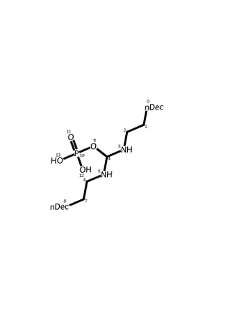 CCCCCCCCCCCCNC(NCCCCCCCCCCCC)OP(=O)(O)O